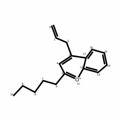 C=CCc1cc(CCCCC)[o+]c2ccccc12